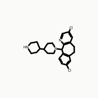 Clc1ccc2c(c1)CCc1cc(Cl)cnc1C2N1CCC(C2CCNCC2)CC1